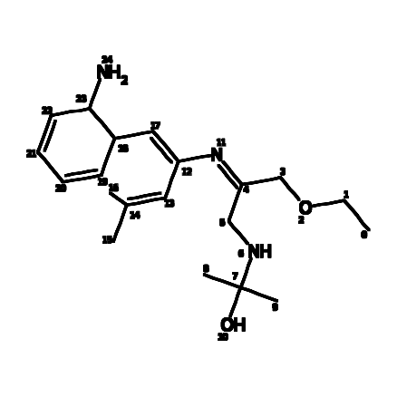 CCOC/C(CNC(C)(C)O)=N/C(C=C(C)C)=C/C1C=CC=CC1N